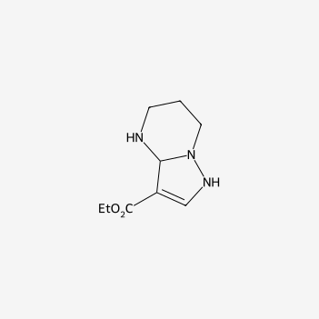 CCOC(=O)C1=CNN2CCCNC12